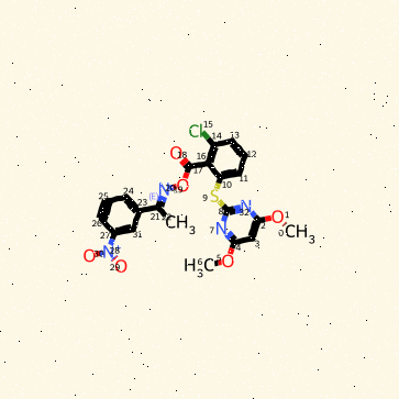 COc1cc(OC)nc(Sc2cccc(Cl)c2C(=O)O/N=C(\C)c2cc#cc([N+](=O)[O-])c2)n1